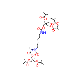 C=C(C)C(=O)OCC(COC(=O)NCCCCCCNC(=O)OCC(COC(=O)C(=C)C)(COC(=O)C(=C)C)COC(=O)C(=C)C)(COC(=O)C(=C)C)COC(=O)C(=C)C